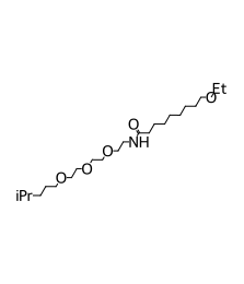 CCOCCCCCCCCC(=O)NCCOCCOCCOCCCC(C)C